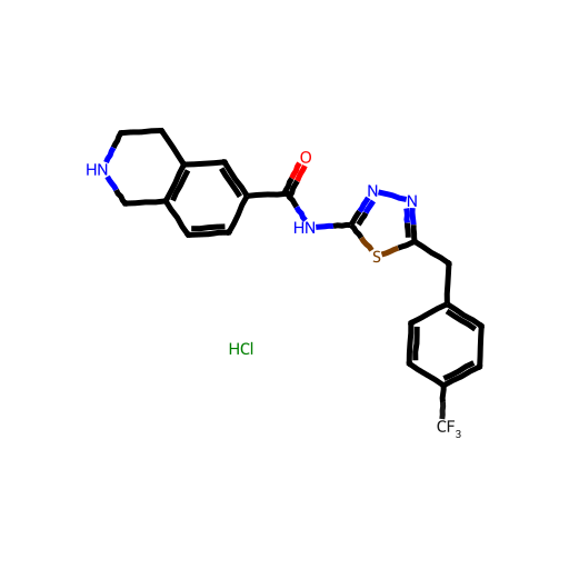 Cl.O=C(Nc1nnc(Cc2ccc(C(F)(F)F)cc2)s1)c1ccc2c(c1)CCNC2